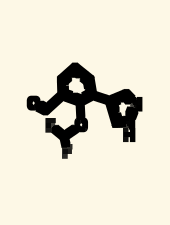 O=Cc1cccc(-c2cn[nH]c2)c1OC(F)F